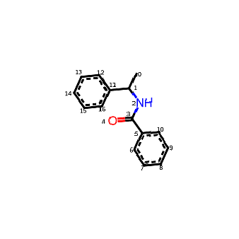 [CH2]C(NC(=O)c1ccccc1)c1ccccc1